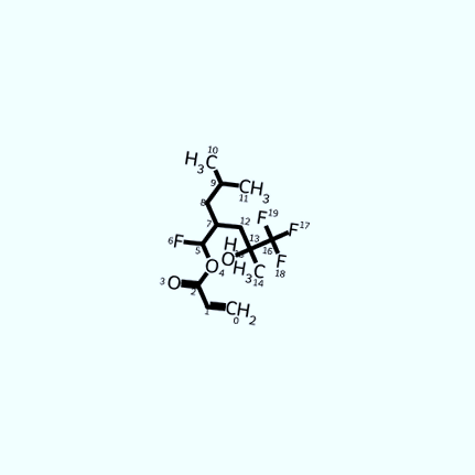 C=CC(=O)OC(F)C(CC(C)C)CC(C)(O)C(F)(F)F